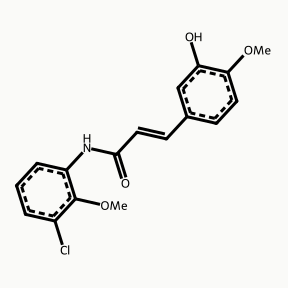 COc1ccc(C=CC(=O)Nc2cccc(Cl)c2OC)cc1O